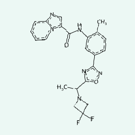 Cc1ccc(-c2noc(C(C)N3CC(F)(F)C3)n2)cc1NC(=O)c1cnc2ccccn12